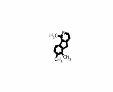 Cc1ccc2c(c1C)Cc1ccnc(C)c1-2